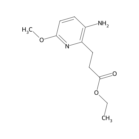 CCOC(=O)CCc1nc(OC)ccc1N